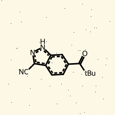 CC(C)(C)C(=O)c1ccc2c(C#N)n[nH]c2c1